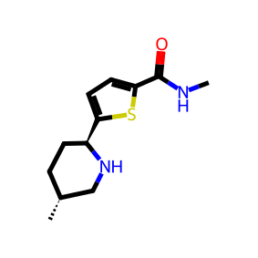 CNC(=O)c1ccc([C@@H]2CC[C@@H](C)CN2)s1